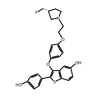 Oc1ccc(-c2sc3ccc(O)cc3c2Oc2ccc(OCCN3CC[C@@H](CF)C3)cc2)cc1